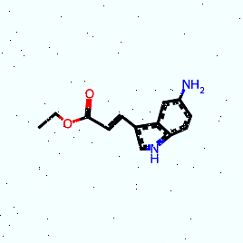 CCOC(=O)C=Cc1c[nH]c2ccc(N)cc12